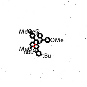 CCCCn1c2ccc(N(C=C(c3ccc(OC)cc3)c3ccc(OC)cc3)C=C(c3ccc(OC)cc3)c3ccc(OC)cc3)cc2c2cc(C(C)(C)C)ccc21